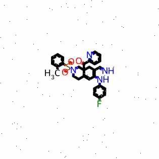 Cc1ccccc1S(=O)(=O)N1CCC2=CC(Nc3ccc(F)cc3)=C(C=N)CC2(C(=O)c2ccccn2)C1